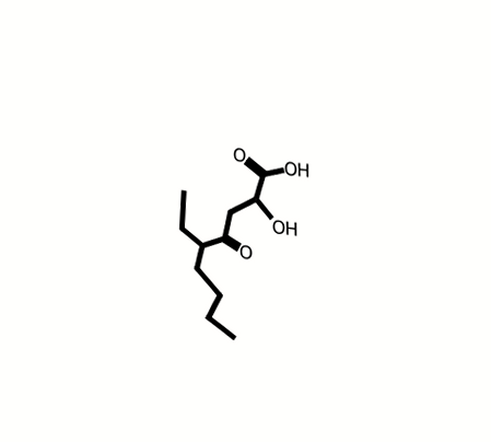 CCCCC(CC)C(=O)CC(O)C(=O)O